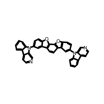 c1ccc2c(c1)c1ccncc1n2-c1ccc2oc3c(ccc4c5cc(-n6c7ccccc7c7ccncc76)ccc5oc43)c2c1